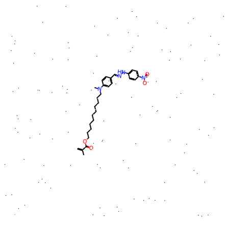 C=C(C)C(=O)OCCCCCCCCCCCN(C)c1ccc(C=NNc2ccc([N+](=O)[O-])cc2)cc1